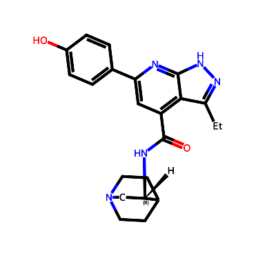 CCc1n[nH]c2nc(-c3ccc(O)cc3)cc(C(=O)N[C@H]3CN4CCC3CC4)c12